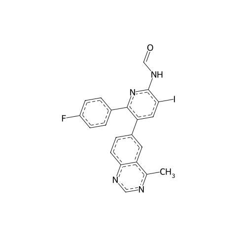 Cc1ncnc2ccc(-c3cc(I)c(NC=O)nc3-c3ccc(F)cc3)cc12